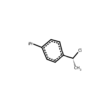 CC(C)c1ccc([C@@H](C)Cl)cc1